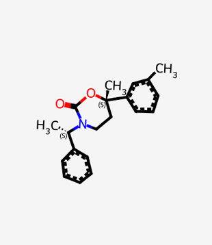 Cc1cccc([C@]2(C)CCN([C@@H](C)c3ccccc3)C(=O)O2)c1